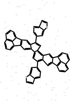 c1cc2c3c(cccc3c1)-c1cc3c(cc1-2)c(-c1ccc2ccsc2c1)cc1c2cc4c(cc2c(-c2ccc5ccsc5c2)cc31)-c1cccc2cccc-4c12